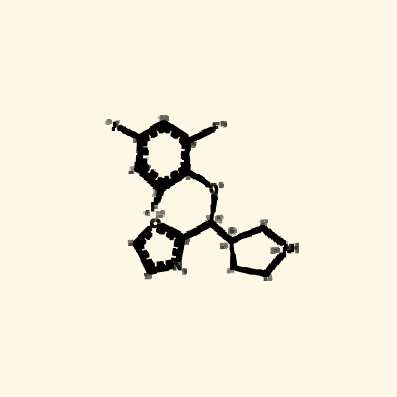 Fc1cc(F)c(O[C@H](c2ncco2)[C@@H]2CCNC2)c(F)c1